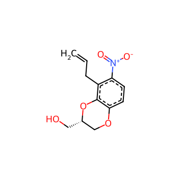 C=CCc1c([N+](=O)[O-])ccc2c1O[C@@H](CO)CO2